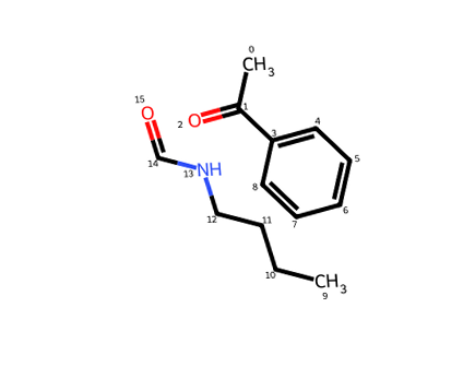 CC(=O)c1ccccc1.CCCCNC=O